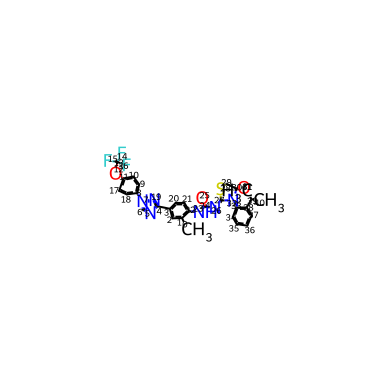 Cc1cc(-c2ncn(-c3ccc(OC(F)(F)F)cc3)n2)ccc1NC(=O)/N=C1\SCC(=O)N1c1ccccc1C(C)C